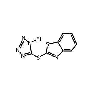 CCn1nnnc1Sc1nc2ccccc2s1